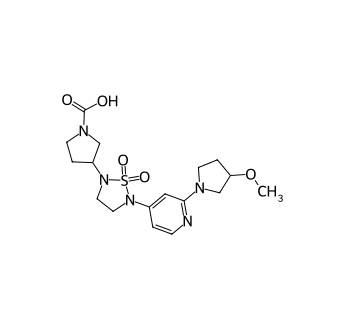 COC1CCN(c2cc(N3CCN(C4CCN(C(=O)O)C4)S3(=O)=O)ccn2)C1